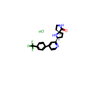 Cl.O=C1NCC[C@]12CC[C@@H](c1cc(-c3ccc(C(F)(F)F)cc3)ccn1)N2